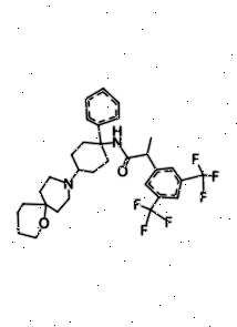 CC(C(=O)NC1(c2ccccc2)CCC(N2CCC3(CCCCO3)CC2)CC1)c1cc(C(F)(F)F)cc(C(F)(F)F)c1